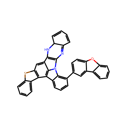 C1=CC2=Nc3c(c4cc5sc6ccccc6c5c5c6cccc(-c7ccc8oc9ccccc9c8c7)c6n3c45)NC2C=C1